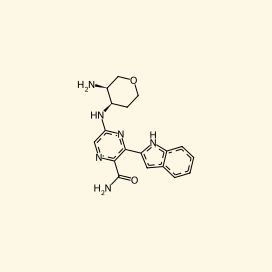 NC(=O)c1ncc(N[C@@H]2CCOC[C@@H]2N)nc1-c1cc2ccccc2[nH]1